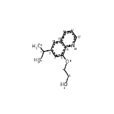 CC(C)c1cc(OCCO)c2ncccc2c1